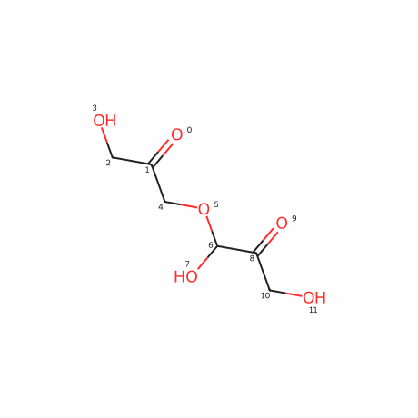 O=C(CO)COC(O)C(=O)CO